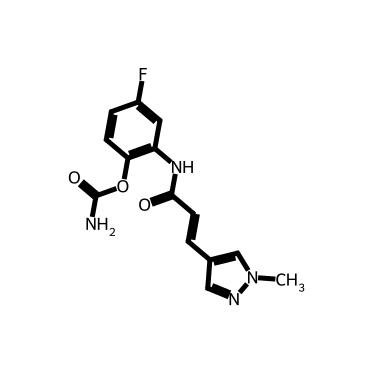 Cn1cc(/C=C/C(=O)Nc2cc(F)ccc2OC(N)=O)cn1